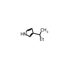 [CH2]CC(C)c1cc[nH]c1